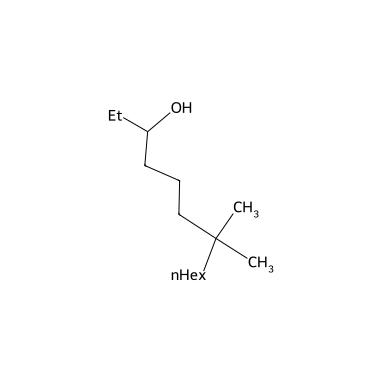 CCCCCCC(C)(C)CCCC(O)CC